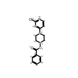 O=C(ON1CCN(c2ccnc(Cl)n2)CC1)c1ccccc1